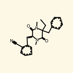 CCC1(Cc2ccccc2)C(=O)N(C)/C(=C\c2ccccc2C#N)C(=O)N1C